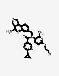 Cc1nc(OCCO)ccc1N(Cc1ccc2c3c(c(N)nc2c1)COC3)C(=O)c1cnc(C2CC2)nc1